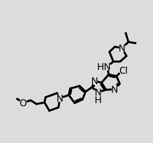 COCCC1CCN(c2ccc(-c3nc4c(NC5CCN(C(C)C)CC5)c(Cl)cnc4[nH]3)cc2)CC1